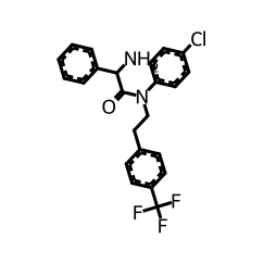 NC(C(=O)N(CCc1ccc(C(F)(F)F)cc1)c1ccc(Cl)cc1)c1ccccc1